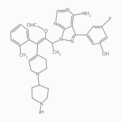 Cc1ccccc1/C(C1=CCN(C2CCN(C(C)C)CC2)CC1)=C(\OC=O)C(C)n1nc(-c2cc(O)cc(F)c2)c2c(N)ncnc21